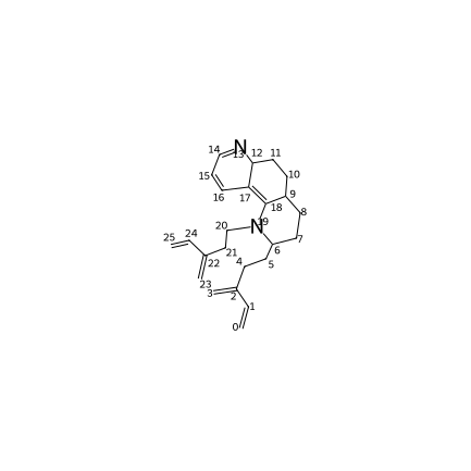 C=CC(=C)CCC1CCC2CCC3N=CC=CC3=C2N1CCC(=C)C=C